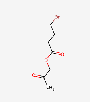 CC(=O)COC(=O)CCCBr